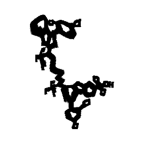 O=S(=O)(O)c1ccc2c(c1)Cc1c(C(CCCCCC(c3nn(-c4ccc(Cl)cc4Cl)c4c3Cc3ccccc3-4)C(F)(F)F)C(F)(F)F)nn(-c3ccc(Cl)cc3Cl)c1-2